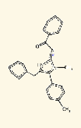 Cc1ccc(-c2c(Cc3ccccc3)[nH]/c(=N\C(=O)c3ccccc3)n2C)cc1